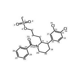 CS(=O)(=O)OCCCC1C(c2ccc(Cl)c(Cl)c2)CCCN1C(=O)c1ccccc1